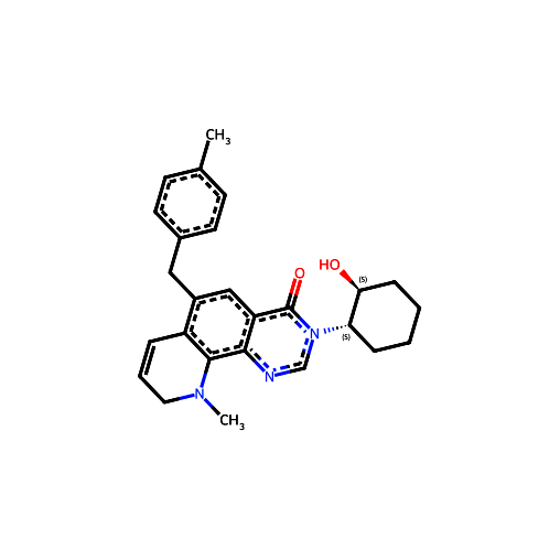 Cc1ccc(Cc2cc3c(=O)n([C@H]4CCCC[C@@H]4O)cnc3c3c2C=CCN3C)cc1